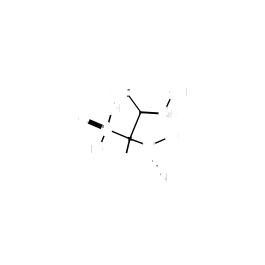 CCCC([SiH2]O)(C([SiH2]O)[SiH2]O)P(=O)(O)O.N.N